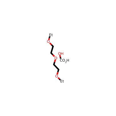 CCOCCOCCOCC.O=C(O)O